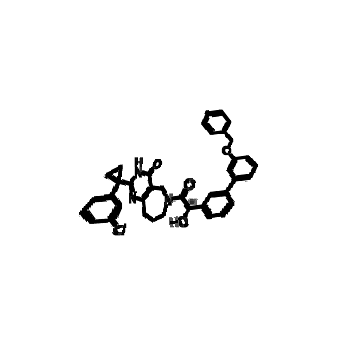 O=C([C@H](O)c1cccc(-c2cccc(OCc3ccccc3)c2)c1)N1CCCc2nc(C3(c4cccc(Cl)c4)CC3)[nH]c(=O)c2C1